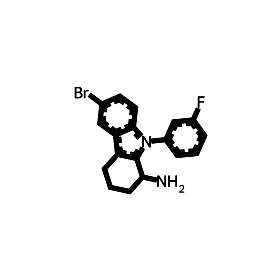 NC1CCCc2c1n(-c1cccc(F)c1)c1ccc(Br)cc21